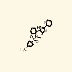 Cc1ccc(S(=O)(=O)N2CCc3nc(-c4ccccn4)[nH]c3-c3ccccc32)cc1